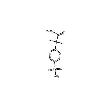 CNC(=O)C(C)(C)c1ccc(S(N)(=O)=O)cc1